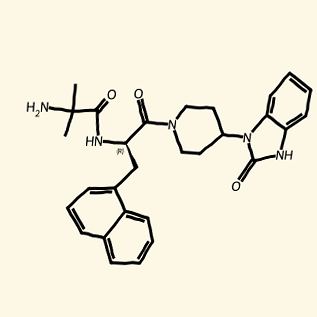 CC(C)(N)C(=O)N[C@H](Cc1cccc2ccccc12)C(=O)N1CCC(n2c(=O)[nH]c3ccccc32)CC1